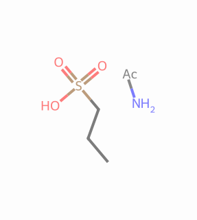 CC(N)=O.CCCS(=O)(=O)O